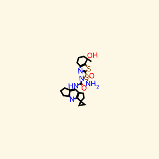 CC1(O)CCCc2nc(S(N)(=O)=NC(=O)Nc3c4c(nc5c3CCC53CC3)CCC4)sc21